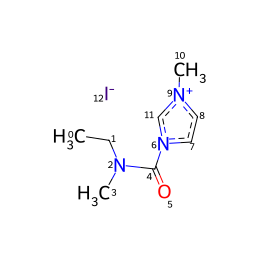 CCN(C)C(=O)n1cc[n+](C)c1.[I-]